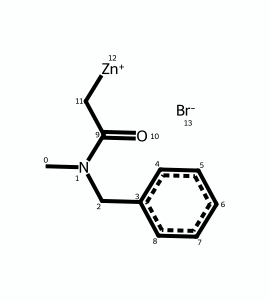 CN(Cc1ccccc1)C(=O)[CH2][Zn+].[Br-]